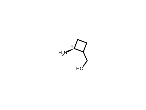 N[C@H]1CCC1CO